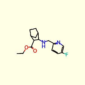 CCOC(=O)C1C2CCC(C2)C1NCc1ccc(F)cn1